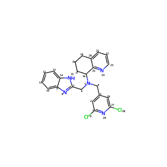 Clc1cc(CN(Cc2nc3ccccc3[nH]2)C2CCCc3cccnc32)cc(Cl)n1